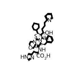 O=C(O)[C@H](Cc1c[nH]cn1)NC(=O)[C@H](Cc1ccccc1)N(N[C@@H](CC1CCCCC1)[C@@H](O)CCCc1ccccn1)C(=S)N1CCOCC1